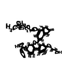 C[Si](C)(C)CCOCOc1cc(COC2CN(C(=O)O)CCC2c2ccc(OCCO)cc2)cc2ccccc12